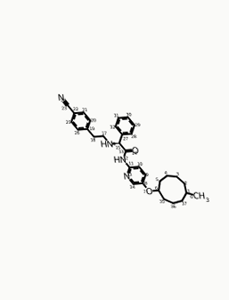 CC1CCCCC(Oc2ccc(NC(=O)[C@@H](NCCc3ccc(C#N)cc3)c3ccccc3)nc2)CCC1